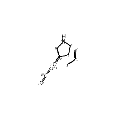 C=CC.O=C1CCNC1.O=C=O